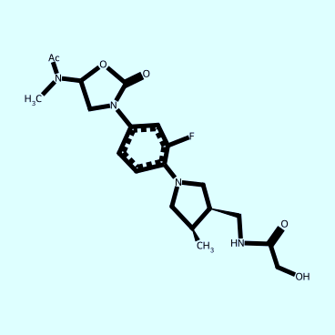 CC(=O)N(C)C1CN(c2ccc(N3C[C@@H](CNC(=O)CO)[C@@H](C)C3)c(F)c2)C(=O)O1